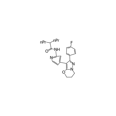 CCCC(CCC)C(=O)Nc1cc(-c2c(-c3ccc(F)cc3)nn3c2OCCC3)ccn1